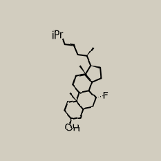 CC(C)CCC[C@@H](C)[C@H]1CCC2C3C(CC[C@@]21C)[C@@]1(C)CC[C@H](O)CC1C[C@H]3F